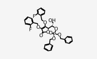 O=C1O[C@H]([C@H](CO)OP(=O)(OCc2ccccc2)OCc2ccccc2)C(OCc2ccccc2F)=C1OCc1ccccc1F